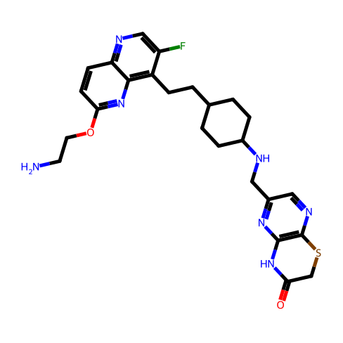 NCCOc1ccc2ncc(F)c(CCC3CCC(NCc4cnc5c(n4)NC(=O)CS5)CC3)c2n1